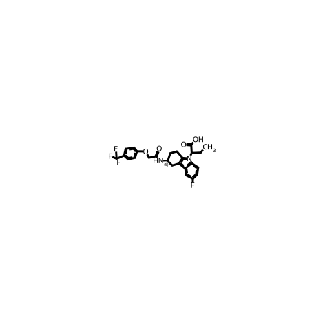 CCC(C(=O)O)n1c2c(c3cc(F)ccc31)C[C@@H](NC(=O)COc1ccc(C(F)(F)F)cc1)CC2